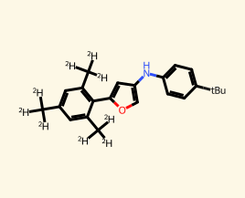 [2H]C([2H])([2H])c1cc(C([2H])([2H])[2H])c(-c2cc(Nc3ccc(C(C)(C)C)cc3)co2)c(C([2H])([2H])[2H])c1